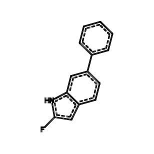 Fc1cc2ccc(-c3ccccc3)cc2[nH]1